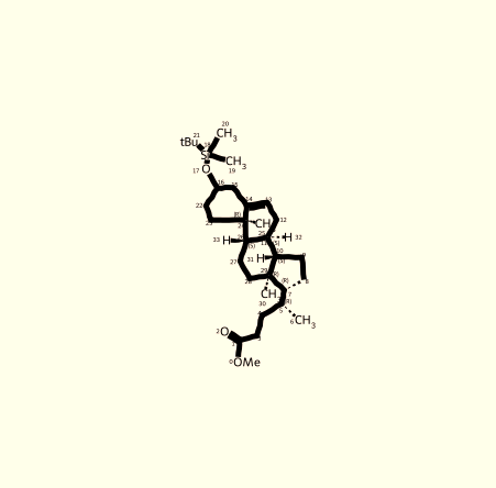 COC(=O)CC[C@@H](C)[C@H]1CC[C@H]2[C@@H]3CC=C4CC(O[Si](C)(C)C(C)(C)C)CC[C@]4(C)[C@H]3CC[C@]12C